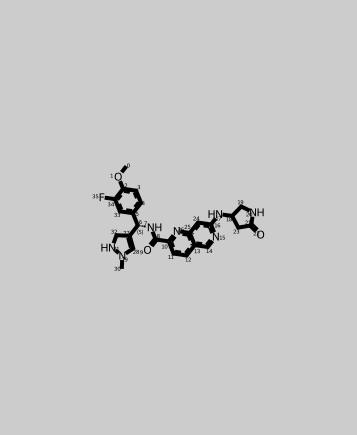 COc1ccc([C@H](NC(=O)c2ccc3cnc(NC4CNC(=O)C4)cc3n2)C2=CN(C)NC2)cc1F